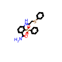 NC(=O)c1cccc(NCCSc2ccccc2)c1S(=O)(=O)c1ccccc1